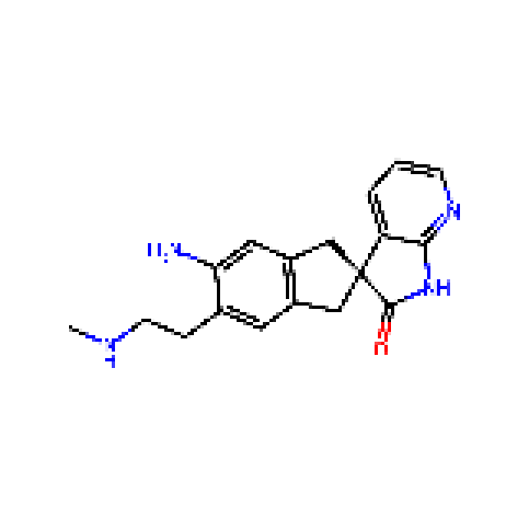 CNCCc1cc2c(cc1N)C[C@]1(C2)C(=O)Nc2ncccc21